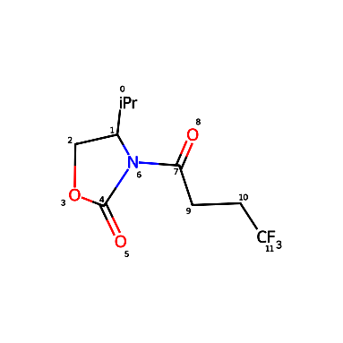 CC(C)C1COC(=O)N1C(=O)CCC(F)(F)F